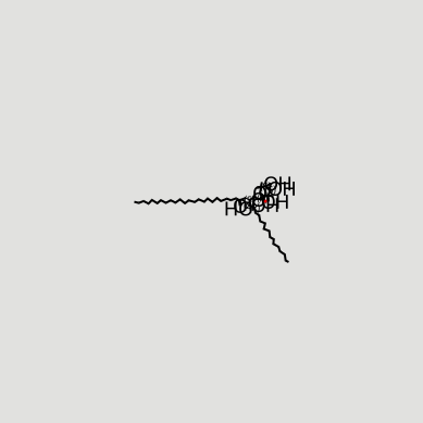 CCCCCCCCCCCCCCCCCCCCCCCC(=O)C[C@@H](CO[C@]1(C)OC(C)(C)[C@@](C)(O)[C@H](O)C1(C)O)[C@H](O)[C@H](O)CCCCCCCCCCCCCC